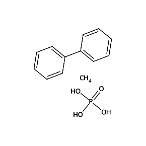 C.O=P(O)(O)O.c1ccc(-c2ccccc2)cc1